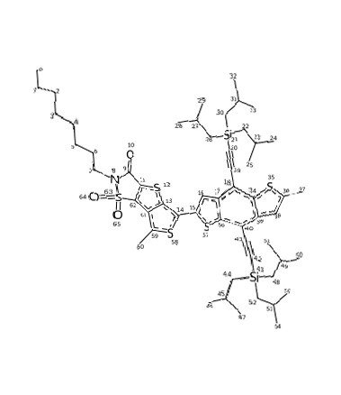 CCCCCCCCN1C(=O)c2sc3c(-c4cc5c(C#C[Si](CC(C)C)(CC(C)C)CC(C)C)c6sc(C)cc6c(C#C[Si](CC(C)C)(CC(C)C)CC(C)C)c5s4)sc(C)c3c2S1(=O)=O